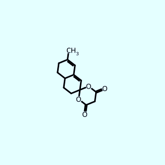 CC1=CC2=CC3(CCC2CC1)OC(=O)CC(=O)O3